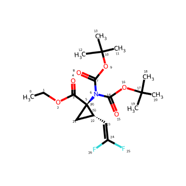 CCOC(=O)[C@@]1(N(C(=O)OC(C)(C)C)C(=O)OC(C)(C)C)C[C@H]1C=C(F)F